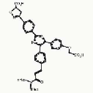 CCCCCCN(CCCCCC)C(=O)C=Cc1ccc(-c2[nH]c(-c3ccc(C4=NOC(C(=O)O)C4)cc3)nc2-c2ccc(OCC(=O)O)cc2)cc1